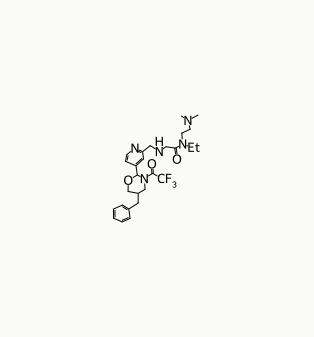 CCN(CCN(C)C)C(=O)CNCc1cc(C2OCC(Cc3ccccc3)CN2C(=O)C(F)(F)F)ccn1